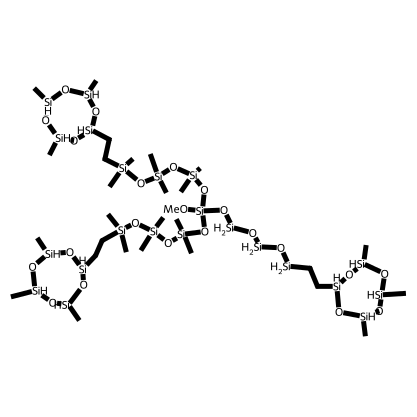 CO[Si](O[SiH2]O[SiH2]O[SiH2]CC[SiH]1O[SiH](C)O[SiH](C)O[SiH](C)O1)(O[Si](C)(C)O[Si](C)(C)O[Si](C)(C)CC[SiH]1O[SiH](C)O[SiH](C)O[SiH](C)O1)O[Si](C)(C)O[Si](C)(C)O[Si](C)(C)CC[SiH]1O[SiH](C)O[SiH](C)O[SiH](C)O1